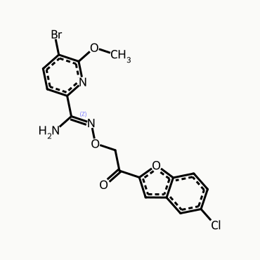 COc1nc(/C(N)=N/OCC(=O)c2cc3cc(Cl)ccc3o2)ccc1Br